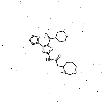 O=C(CC1CCCOCN1)Nc1nc(-c2ccco2)c(C(=O)C2CCOCC2)s1